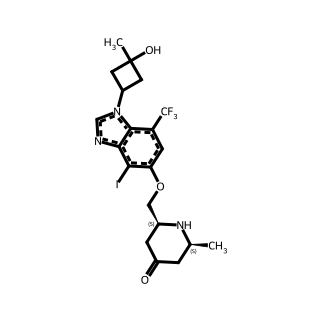 C[C@H]1CC(=O)C[C@@H](COc2cc(C(F)(F)F)c3c(ncn3C3CC(C)(O)C3)c2I)N1